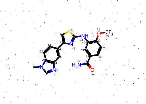 Cn1cnc2cc(-c3csc(Nc4cc(C(N)=O)ccc4OC(F)(F)F)n3)ccc21